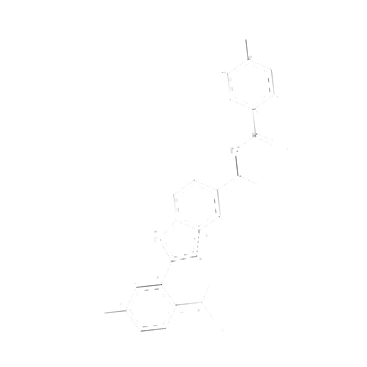 CC(NC(=O)c1ccc(F)cc1)c1ccc2[nH]c(-c3cc(F)ccc3C(F)F)cc2c1